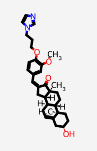 COc1cc(C=C2C[C@H]3[C@@H]4CC=C5C[C@@H](O)CC[C@]5(C)[C@H]4CC[C@]3(C)C2=O)ccc1OCCCn1ccnc1